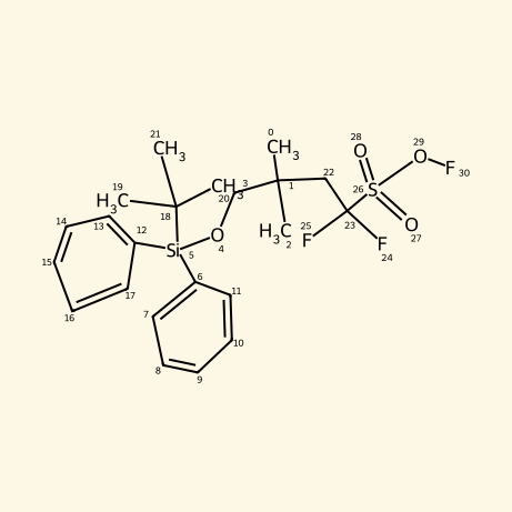 CC(C)(CO[Si](c1ccccc1)(c1ccccc1)C(C)(C)C)CC(F)(F)S(=O)(=O)OF